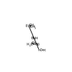 CCCCCCCCCCCCCCCC(=O)N(CCCCCCNC(=O)CCCCCCCCCCCCC(CC)N(C)C)CCCN(C)C